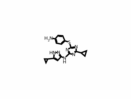 Nc1ccc(Sc2nc(Nc3cc(C4CC4)[nH]n3)nc(C3CC3)n2)cc1